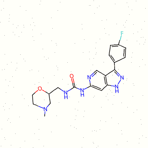 CN1CCOC(CNC(=O)Nc2cc3[nH]nc(-c4ccc(F)cc4)c3cn2)C1